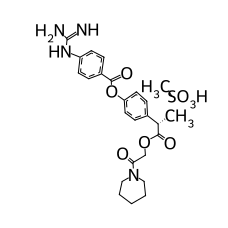 CS(=O)(=O)O.C[C@H](C(=O)OCC(=O)N1CCCCC1)c1ccc(OC(=O)c2ccc(NC(=N)N)cc2)cc1